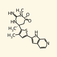 Cc1cc(-c2cc3ccncc3[nH]2)sc1[C@]1(C)CS(=O)(=O)N(C)C(=N)N1